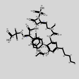 C=C(C)[C@@H]1CCC(C)=C[C@H]1c1c(O)cc(CCCCC)cc1OC(=S)N(C)C/C=C1\[C@H](NC(=O)/C(=N\OC(C)(C)C(=O)O)C2=CCC(N)=N2)C(=O)N1S(=O)(=O)O